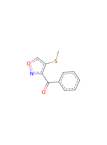 CSc1conc1C(=O)c1ccccc1